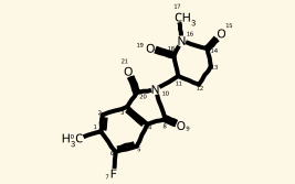 Cc1cc2c(cc1F)C(=O)N(C1CCC(=O)N(C)C1=O)C2=O